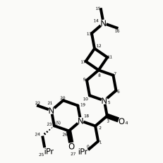 CC(C)CC(C(=O)N1CCC2(CC1)CC(CN(C)C)C2)N1CCN(C)[C@@H](CC(C)C)C1=O